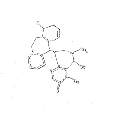 CN1CC(C2C3=C(CCc4ccccc42)C(F)CC=C3)n2ncc(=O)c(O)c2C1O